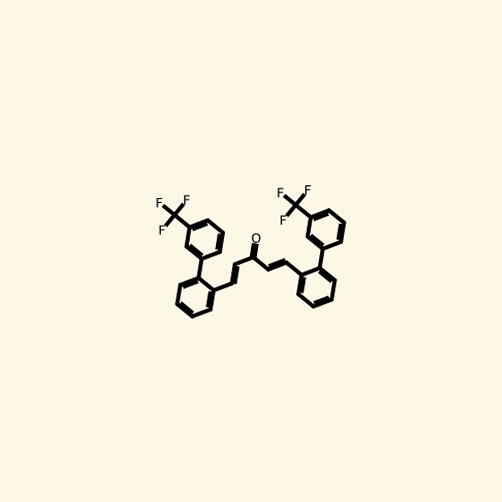 O=C(/C=C/c1ccccc1-c1cccc(C(F)(F)F)c1)/C=C/c1ccccc1-c1cccc(C(F)(F)F)c1